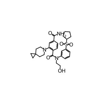 NC(=O)c1ccc(C(=O)N(CCO)c2cccc(S(=O)(=O)C3CCCC3)c2)c(N2CCC3(CC2)CC3)c1